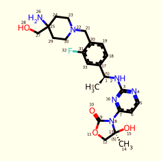 C[C@H](Nc1nccc(N2C(=O)OC[C@]2(C)O)n1)c1ccc(CN2CCC(N)(CO)CC2)c(F)c1